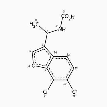 CC(NC(=O)O)c1coc2c(Cl)c(Cl)ccc12